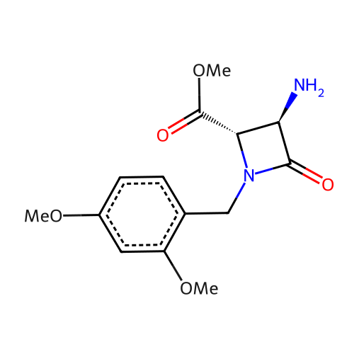 COC(=O)[C@@H]1[C@@H](N)C(=O)N1Cc1ccc(OC)cc1OC